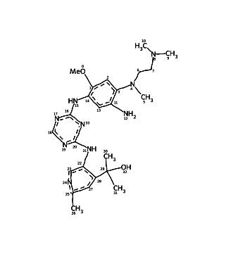 COc1cc(N(C)CCN(C)C)c(N)cc1Nc1ncnc(Nc2cnc(C)cc2C(C)(C)O)n1